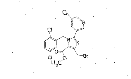 COC(=O)c1c(CBr)nc(-c2cncc(Cl)c2)n1Cc1cc(Cl)ccc1Cl